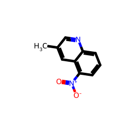 Cc1cnc2cccc([N+](=O)[O-])c2c1